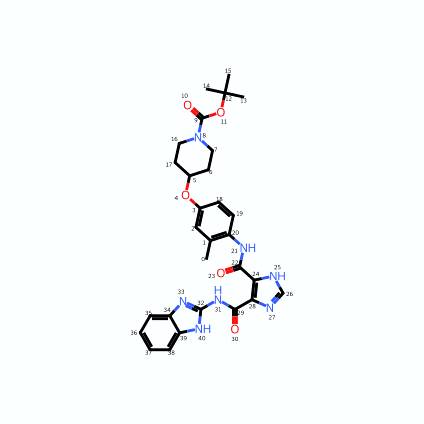 Cc1cc(OC2CCN(C(=O)OC(C)(C)C)CC2)ccc1NC(=O)c1[nH]cnc1C(=O)Nc1nc2ccccc2[nH]1